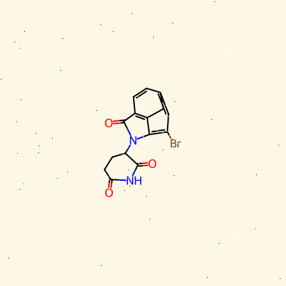 O=C1CCC(N2C(=O)C3=C4CC(=CC(Br)=C42)C=C3)C(=O)N1